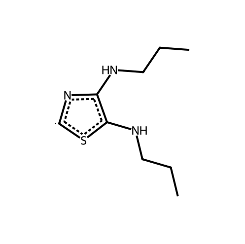 CCCNc1n[c]sc1NCCC